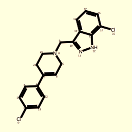 Clc1ccc(C2=CCN(Cc3n[nH]c4c(Cl)cccc34)CC2)cc1